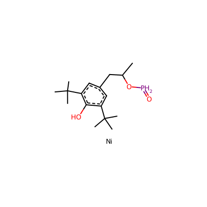 CC(Cc1cc(C(C)(C)C)c(O)c(C(C)(C)C)c1)O[PH2]=O.[Ni]